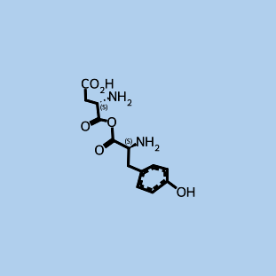 N[C@@H](CC(=O)O)C(=O)OC(=O)[C@@H](N)Cc1ccc(O)cc1